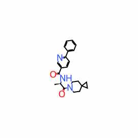 C[C@@H](NC(=O)c1ccc(-c2ccccc2)nc1)C(=O)N1CCC2(CC1)CC2